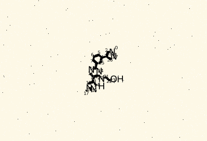 Cn1cc(-c2cccc(-c3ncc(-c4cnn(C)c4)c(NCCO)n3)c2)cn1